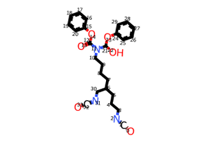 O=C=NCCCC(CCCCN(C(=O)Oc1ccccc1)C(O)Oc1ccccc1)CN=C=O